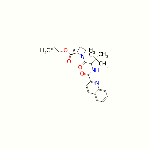 C=CCOC(=O)[C@H]1CCN1C(=O)C(NC(=O)c1ccc2ccccc2n1)C(C)(C)C